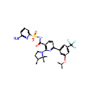 CC(C)Oc1cc(-c2ccc(C(=O)NS(=O)(=O)c3cccc(N)n3)c(N3CCC(C)C3(C)C)n2)cc(C(F)(F)F)c1